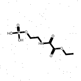 CCOC(=O)C(=O)NCCOP(=O)(O)O